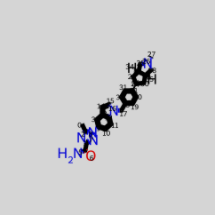 Cc1nc(C(N)=O)nn1-c1ccc2c(ccn2Cc2ccc([C@H]3C[C@@H]4CN(C)C[C@@H]4C3)cc2)c1